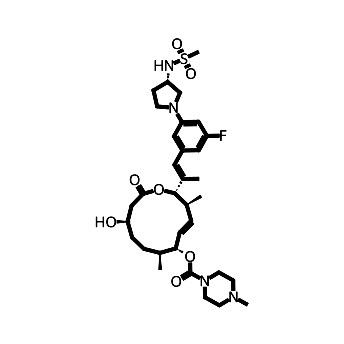 C/C(=C\c1cc(F)cc(N2CC[C@H](NS(C)(=O)=O)C2)c1)[C@H]1OC(=O)C[C@H](O)CC[C@H](C)[C@@H](OC(=O)N2CCN(C)CC2)/C=C/[C@@H]1C